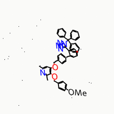 COc1ccc(COc2c(OCc3ccc(-c4ccccc4-c4nnnn4C(c4ccccc4)(c4ccccc4)c4ccccc4)cc3)cc(C)nc2C)cc1